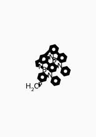 C=Pc1ccc2c(c1)N(c1ccccc1)c1cc3c4c5c1B2n1ccc2cc6c7cccc8c7n(c6c-5c21)B4c1c-8cccc1N3c1ccccc1